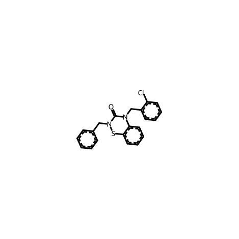 O=C1N(Cc2ccccc2)Sc2ccccc2N1Cc1ccccc1Cl